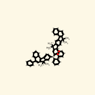 CC1(C)c2cc(N(c3ccc4c(c3)C(C)(C)c3cc(-c5ccccc5)c5ccccc5c3-4)c3ccccc3-c3ccccc3)ccc2-c2cc3c(cc21)-c1c(ccc2ccccc12)C3(C)C